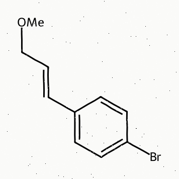 COCC=Cc1ccc(Br)cc1